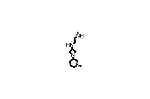 CNCCNC1CN(C2CCCN(C)C2)C1